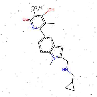 Cc1c(-c2ccc3c(c2)cc(CNCC2CC2)n3C)[nH]c(=O)c(C(=O)O)c1O